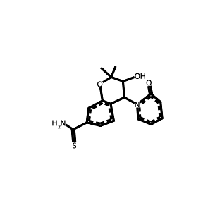 CC1(C)Oc2cc(C(N)=S)ccc2C(n2ccccc2=O)C1O